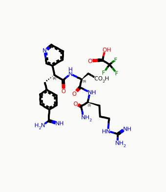 N=C(N)NCCC[C@H](NC(=O)[C@H](CC(=O)O)NC(=O)[C@H](Cc1ccc(C(=N)N)cc1)c1cccnc1)C(N)=O.O=C(O)C(F)(F)F